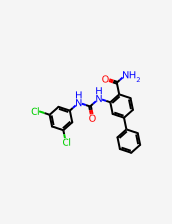 NC(=O)c1ccc(-c2ccccc2)cc1NC(=O)Nc1cc(Cl)cc(Cl)c1